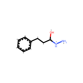 NNC(O)CCc1ccccc1